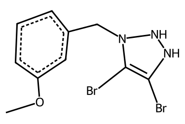 COc1cccc(CN2NNC(Br)=C2Br)c1